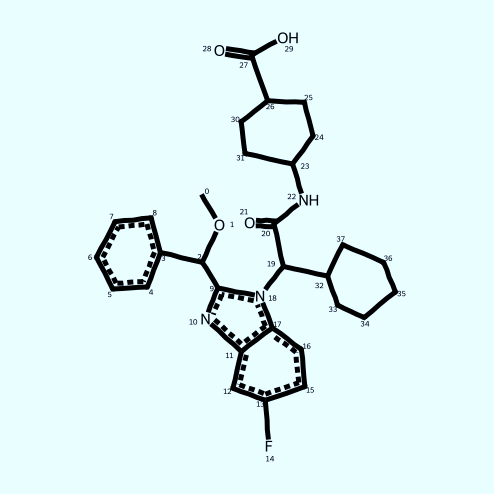 COC(c1ccccc1)c1nc2cc(F)ccc2n1C(C(=O)NC1CCC(C(=O)O)CC1)C1CCCCC1